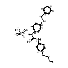 CCCCc1ccc(NC(=N)N(C)c2ccc(OCc3ccccc3)cc2)cc1.CS(=O)(=O)O